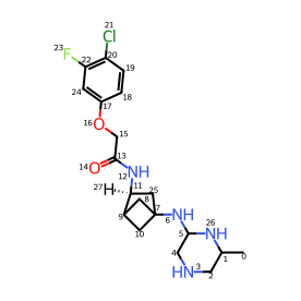 CC1CNCC(NC23CC(C2)[C@@H](NC(=O)COc2ccc(Cl)c(F)c2)C3)N1